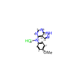 COc1ccc(N(C)c2ncnc3[nH]ncc23)cc1.Cl